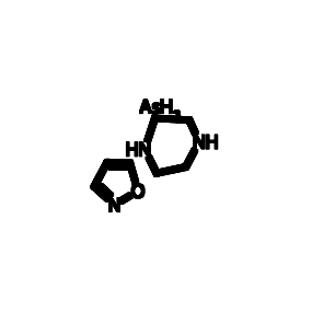 C1CNCCN1.[AsH3].c1cnoc1